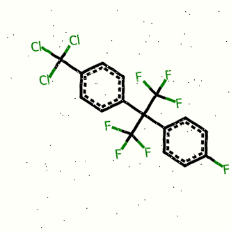 Fc1ccc(C(c2ccc(C(Cl)(Cl)Cl)cc2)(C(F)(F)F)C(F)(F)F)cc1